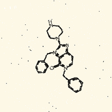 O=c1c2c(ccn1Cc1ccccc1)nc(N1CCNCC1)n2Cc1ccccc1